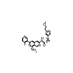 COCCn1cc([C@H]2C[C@@H]2C(=O)Nc2cc3cc(-c4cnccc4C)nc(N)c3cn2)cn1